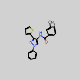 Cc1cccc(C(=O)Nc2cn(-c3ccccc3)nc2-c2cccs2)c1